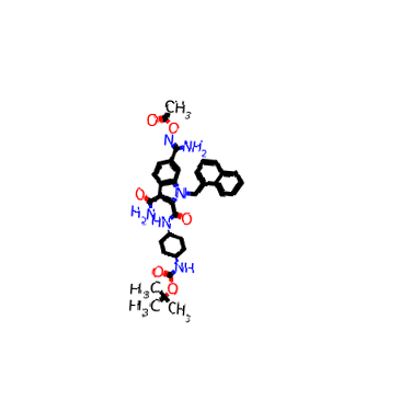 CC(=O)ON=C(N)c1ccc2c(C(N)=O)c(C(=O)N[C@H]3CC[C@H](NC(=O)OC(C)(C)C)CC3)n(Cc3cccc4ccccc34)c2c1